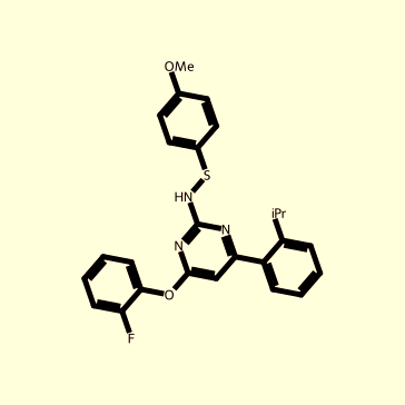 COc1ccc(SNc2nc(Oc3ccccc3F)cc(-c3ccccc3C(C)C)n2)cc1